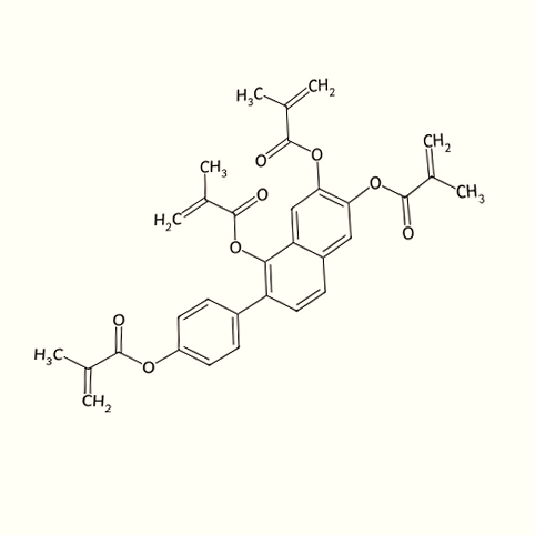 C=C(C)C(=O)Oc1ccc(-c2ccc3cc(OC(=O)C(=C)C)c(OC(=O)C(=C)C)cc3c2OC(=O)C(=C)C)cc1